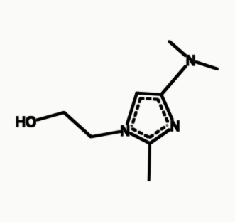 Cc1nc(N(C)C)cn1CCO